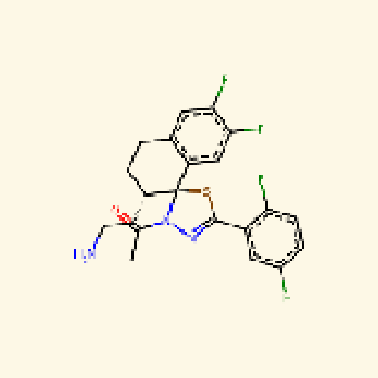 CC(=O)N1N=C(c2cc(F)ccc2F)S[C@@]12c1cc(F)c(F)cc1CC[C@H]2CCN